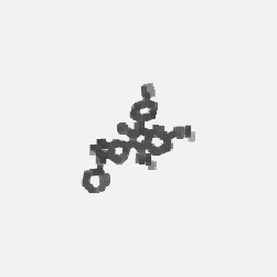 Cc1ccc2c(N)c(-c3ccc4c(c3)nnn4C3CCCCO3)c(=O)n(-c3ccc(Cl)cc3)c2n1